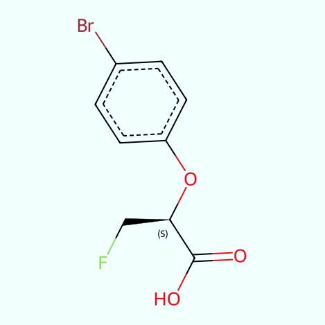 O=C(O)[C@@H](CF)Oc1ccc(Br)cc1